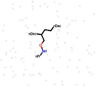 CCCCCCCCCCCCC(CCCCCCCCCC)CONCCC